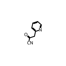 N#CC(=O)Cc1ccccn1